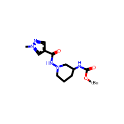 Cn1cc(C(=O)NN2CCCC(NC(=O)OC(C)(C)C)C2)cn1